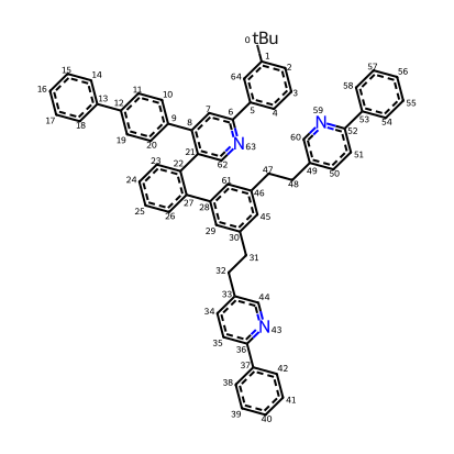 CC(C)(C)c1cccc(-c2cc(-c3ccc(-c4ccccc4)cc3)c(-c3ccccc3-c3cc(CCc4ccc(-c5ccccc5)nc4)cc(CCc4ccc(-c5ccccc5)nc4)c3)cn2)c1